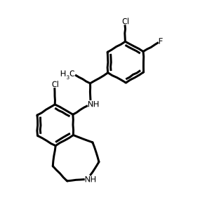 CC(Nc1c(Cl)ccc2c1CCNCC2)c1ccc(F)c(Cl)c1